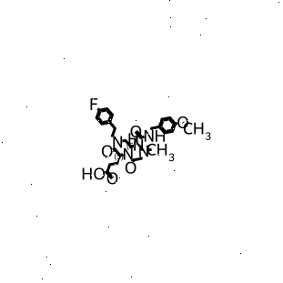 COc1ccc(CNC(=O)N2[C@H]3CN(CCc4ccc(F)cc4)C(=O)[C@H](CCC(=O)O)N3C(=O)CN2C)cc1